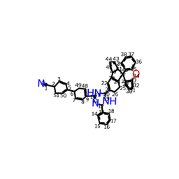 N#CC1C=CC(C2C=CC(C3=NC(c4ccccc4)NC(C4=CC5=C(CC4)C4(c6ccccc6Oc6ccccc64)C4C=CC=CC54)N3)=CC2)=CC1